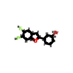 Fc1cc2cc(-c3cccc(Br)c3)oc2cc1F